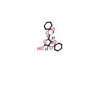 OC1O[C@@H]([C@H]2COC3(CCCCC3)O2)[C@H]2OC3(CCCCC3)O[C@@H]12